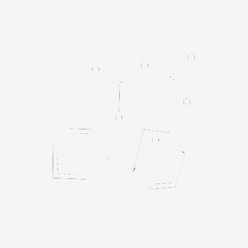 O=C1OC(=O)OC2C(O1)C1C=CC2(c2ccccc2)O1